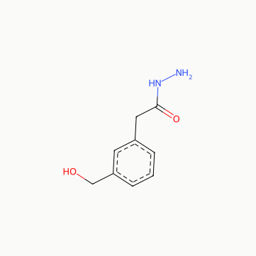 NNC(=O)Cc1cccc(CO)c1